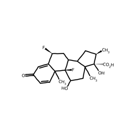 C[C@@H]1CC2C3C[C@H](F)C4=CC(=O)C=CC4(C)[C@@]3(F)C(O)CC2(C)[C@@]1(O)C(=O)O